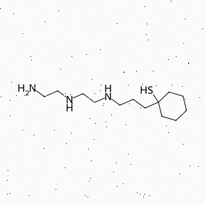 NCCNCCNCCCC1(S)CCCCC1